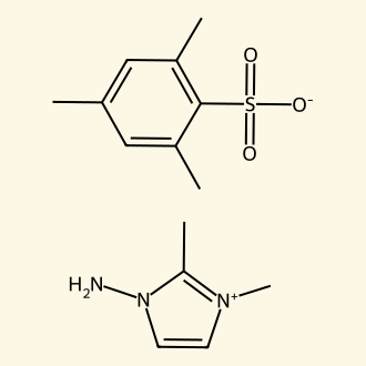 Cc1cc(C)c(S(=O)(=O)[O-])c(C)c1.Cc1n(N)cc[n+]1C